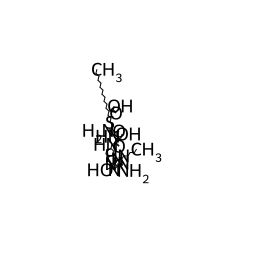 CCCCCCCCCCCCC(CCSCC(N)C(=O)NC(CO)C(=O)Nc1ccc(Cn2c(O)nc3c(N)nc(NCCCC)nc32)cc1)C(=O)O